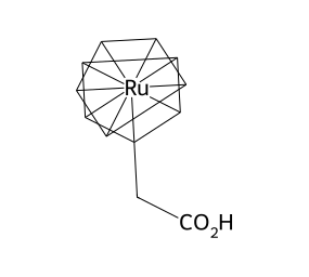 O=C(O)C[C]12[CH]3[CH]4[CH]5[CH]1[Ru]45321678[CH]2[CH]1[CH]6[CH]7[CH]28